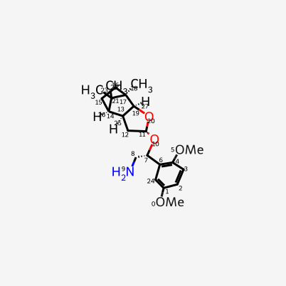 COc1ccc(OC)c([C@H](CN)O[C@@H]2C[C@H]3[C@H]4CC[C@@](C)([C@H]3O2)C4(C)C)c1